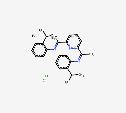 CC(=Nc1ccccc1C(C)C)c1cccc(C(C)=Nc2ccccc2C(C)C)n1.[Cl-].[Cl-].[Fe+2]